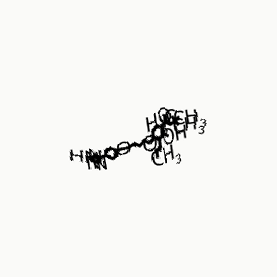 CCCc1c(OCCCCOc2ccc(-c3nn[nH]n3)cc2)ccc(C(=O)CC(C)(C)C)c1O